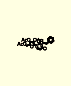 CC(=O)OCC1OC(N2C=CC(=O)N(CCc3ccccc3)C2O)[C@@H](OC(C)=O)C1OC(C)=O